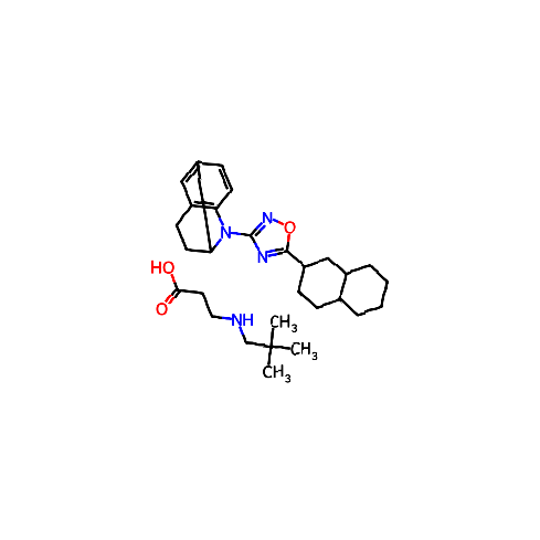 CC(C)(C)CNCCC(=O)O.c1cc2c3cc1C(CC3)N2c1noc(C2CCC3CCCCC3C2)n1